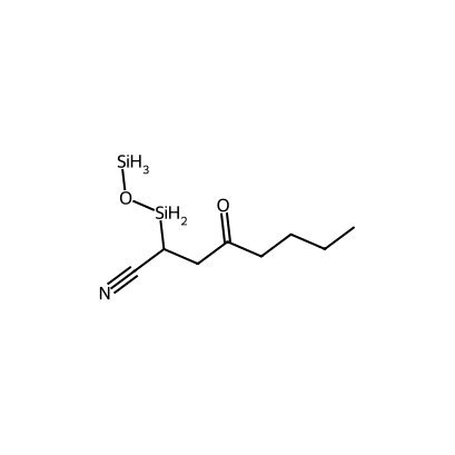 CCCCC(=O)CC(C#N)[SiH2]O[SiH3]